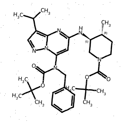 CC(C)c1cnn2c(N(Cc3ccccc3)C(=O)OC(C)(C)C)cc(N[C@@H]3CN(C(=O)OC(C)(C)C)CC[C@H]3C)nc12